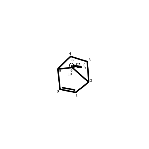 C1=CC2CCC1C21OCCO1